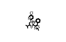 Cc1nc(C(=O)N(C)C(CNc2ccc(Cl)cn2)C(C)C)c(-c2ccccc2)s1